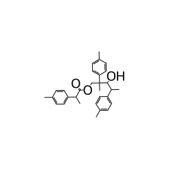 Cc1ccc(C(C)C(=O)OCC(C)(c2ccc(C)cc2)C(O)C(C)c2ccc(C)cc2)cc1